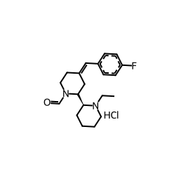 CCN1CCCC[C@H]1C1CC(=Cc2ccc(F)cc2)CCN1C=O.Cl